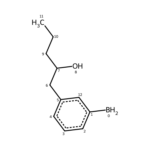 Bc1cccc(CC(O)CCC)c1